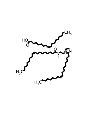 CCCCCCCC/C=C\CCCCCCCC(=O)O.CCCCCCCC/C=C\CCCCCCCCC1=NCCN1CCNC(=O)CCCCCCC/C=C\CCCCCCCC